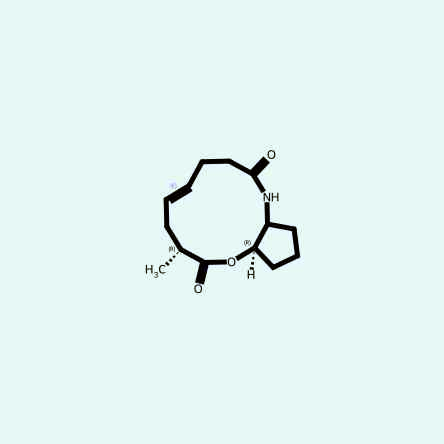 C[C@@H]1C/C=C/CCC(=O)NC2CCC[C@H]2OC1=O